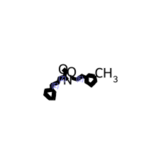 Cc1cccc(/C=C/C2=NC(=C\C=C\c3ccccc3)/C(=O)O2)c1